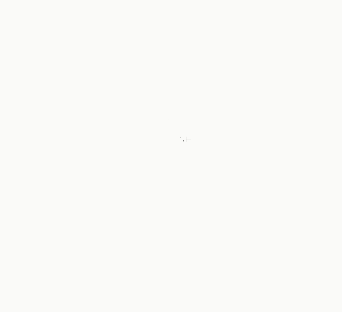 Clc1cc(Cl)cc(-c2cc3cc(Cl)cc(Cl)c3[nH]2)c1